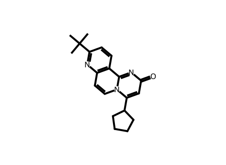 CC(C)(C)c1ccc2c(ccn3c(C4CCCC4)cc(=O)nc23)n1